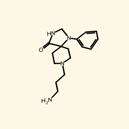 NCCCN1CCC2(CC1)C(=O)NCN2c1ccccc1